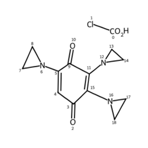 O=C(O)Cl.O=C1C=C(N2CC2)C(=O)C(N2CC2)=C1N1CC1